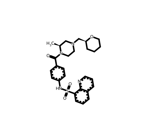 C[C@H]1CN(C[C@@H]2CCCCO2)CCN1C(=O)c1ccc(NS(=O)(=O)c2cccc3cccnc23)cc1